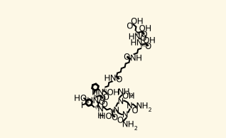 NC(=O)CN1CCN(CC(N)=O)CCN([C@H](CCC(=O)N[C@H](Cc2ccc(O)c(I)c2)C(=O)N[C@H](Cc2ccccc2)C(=O)N[C@H](CCCCNC(=O)CCCCCCC(=O)NCCCC[C@H](NC(=O)N[C@@H](CCC(=O)O)C(=O)O)C(=O)O)C(=O)O)C(=O)O)CCN(CC(N)O)CC1